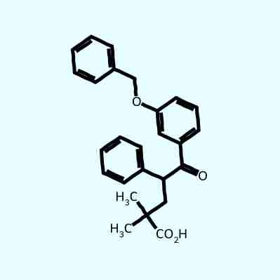 CC(C)(CC(C(=O)c1cccc(OCc2ccccc2)c1)c1ccccc1)C(=O)O